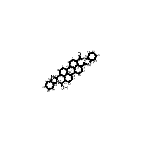 O=c1c2ccc3c4ccc5c6c(ccc(c7ccc(c2c37)c2nc3ccccc3n12)c64)C(O)n1c-5nc2ccccc21